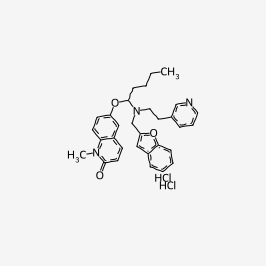 CCCCC(Oc1ccc2c(ccc(=O)n2C)c1)N(CCc1cccnc1)Cc1cc2ccccc2o1.Cl.Cl